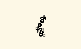 CC(OC(=O)Nc1c(F)cnn1-c1ccc(-c2ccc(C3(C(=O)O)CC3)cc2)cc1)c1ccccc1Cl